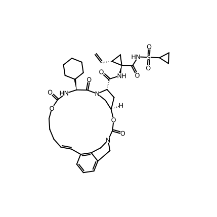 C=C[C@@H]1C[C@]1(NC(=O)[C@@H]1C[C@@H]2CN1C(=O)[C@H](C1CCCCC1)NC(=O)OCCC/C=C/c1cccc3c1CN(C3)C(=O)O2)C(=O)NS(=O)(=O)C1CC1